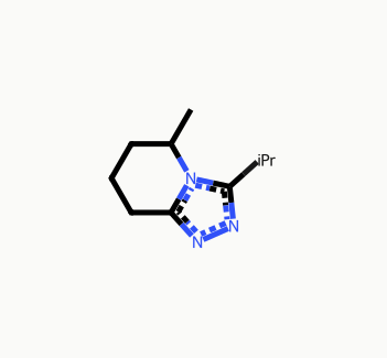 CC(C)c1nnc2n1C(C)CCC2